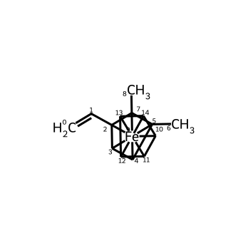 C=C[C]12[CH]3[CH]4[C]5(C)[C]1(C)[Fe]43521678[CH]2[CH]1[CH]6[CH]7[CH]28